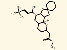 COC(=O)CC1CCC2O[C@@H](C(O)/C=C/[Si](C)(C)C)C3OC4(CCCCC4)OC3[C@H]2O1